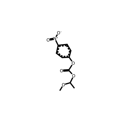 COC(C)OC(=O)Oc1ccc([N+](=O)[O-])cc1